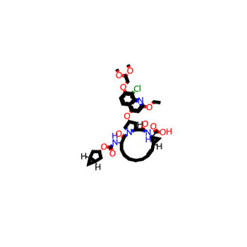 CCOc1cc(O[C@@H]2C[C@H]3C(=O)N[C@]4(C(=O)O)C[C@H]4/C=C\CCCCC[C@H](NC(=O)O[C@@H]4C[C@@H]5C[C@@H]5C4)C(=O)N3C2)c2ccc(OCC(OC)OC)c(Cl)c2n1